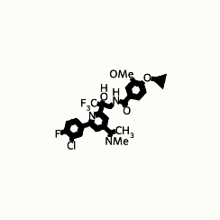 CNC(C)c1cc(-c2ccc(F)c(Cl)c2)nc(C(O)(CNC(=O)c2ccc(OC3CC3)c(OC)c2)C(F)(F)F)c1